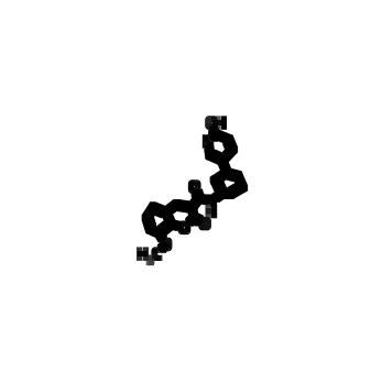 COc1cccc2cc(C(=O)Nc3cccc(-c4ccc(O)nc4)c3)c(=O)oc12